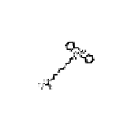 O=C(NCCOCCOCCOOP(=O)(Cc1ccccc1)Cc1ccccc1)C(F)(F)F